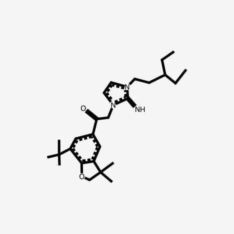 CCC(CC)CCn1ccn(CC(=O)c2cc(C(C)(C)C)c3c(c2)C(C)(C)CO3)c1=N